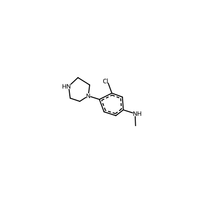 CNc1ccc(N2CCNCC2)c(Cl)c1